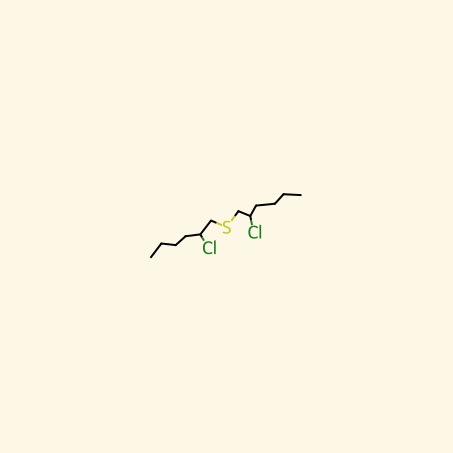 CCCCC(Cl)CSCC(Cl)CCCC